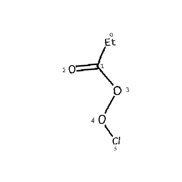 CCC(=O)OOCl